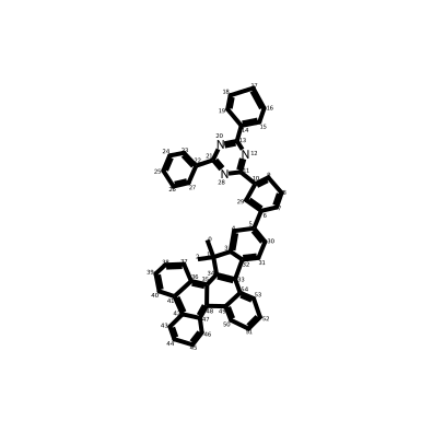 CC1(C)c2cc(-c3cccc(-c4nc(-c5ccccc5)nc(-c5ccccc5)n4)c3)ccc2-c2c1c1c3ccccc3c3ccccc3c1c1ccccc21